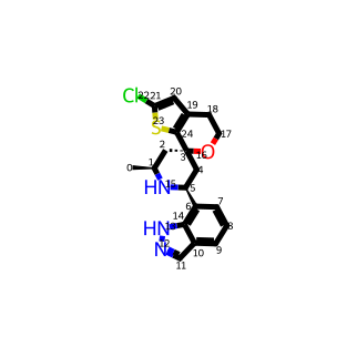 C[C@H]1C[C@@]2(C[C@@H](c3cccc4cn[nH]c34)N1)OCCc1cc(Cl)sc12